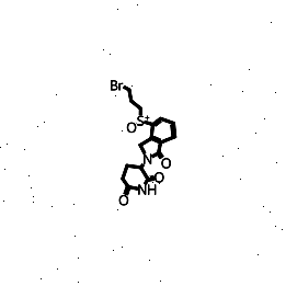 O=C1CCC(N2Cc3c(cccc3[S+]([O-])CCCBr)C2=O)C(=O)N1